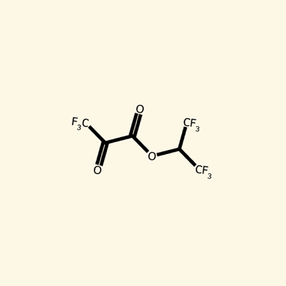 O=C(OC(C(F)(F)F)C(F)(F)F)C(=O)C(F)(F)F